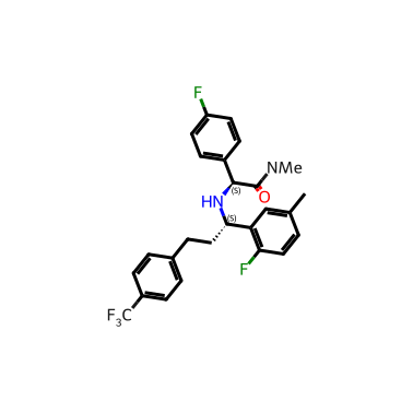 CNC(=O)[C@@H](N[C@@H](CCc1ccc(C(F)(F)F)cc1)c1cc(C)ccc1F)c1ccc(F)cc1